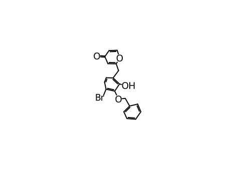 O=c1ccoc(Cc2ccc(Br)c(OCc3ccccc3)c2O)c1